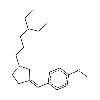 CCN(CC)CCCN1CCC(=Cc2ccc(OC)cc2)C1